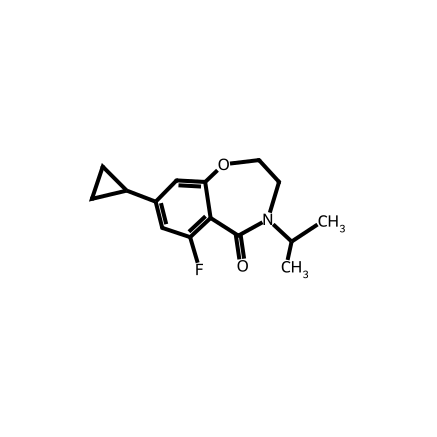 CC(C)N1CCOc2cc(C3CC3)cc(F)c2C1=O